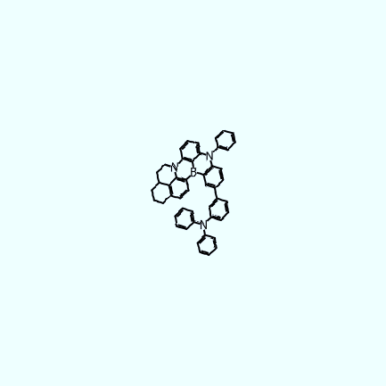 c1ccc(N(c2ccccc2)c2cccc(-c3ccc4c(c3)B3c5ccc6c7c5N(CCC7CCC6)c5cccc(c53)N4c3ccccc3)c2)cc1